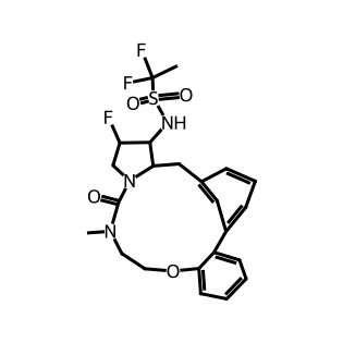 CN1CCOc2ccccc2-c2cccc(c2)CC2C(NS(=O)(=O)C(C)(F)F)C(F)CN2C1=O